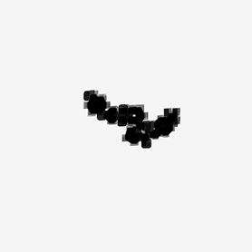 O=C(NCc1ccc(C(F)(F)F)cc1)[C@H]1CCCN1C(=O)[C@H]1CCCN(S(=O)(=O)N2CC(Oc3ccc(Cl)cc3)C2)C1